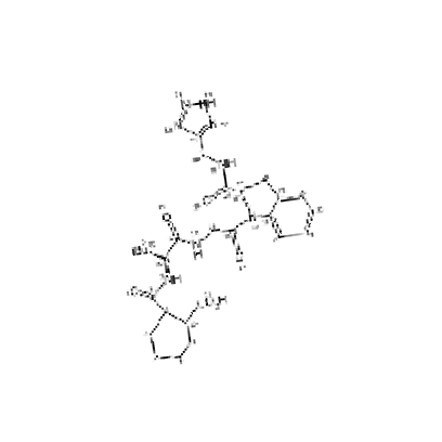 CC[C@H](C)[C@H](NC(=O)C1CCCCC1C(=O)O)C(=O)NCC(=O)N1c2ccccc2C[C@H]1C(=O)NCc1nn[nH]n1